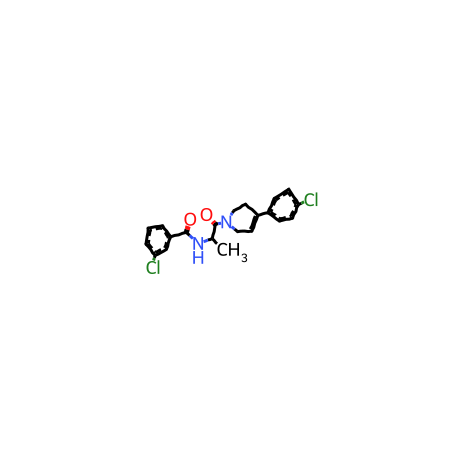 CC(NC(=O)c1cccc(Cl)c1)C(=O)N1CC=C(c2ccc(Cl)cc2)CC1